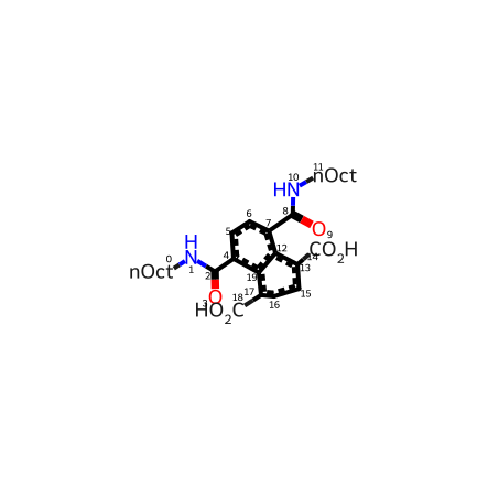 CCCCCCCCNC(=O)c1ccc(C(=O)NCCCCCCCC)c2c(C(=O)O)ccc(C(=O)O)c12